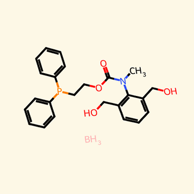 B.CN(C(=O)OCCP(c1ccccc1)c1ccccc1)c1c(CO)cccc1CO